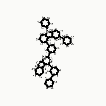 c1ccc(-c2cccc(-c3nc(-c4cccc(-c5cccc6c5c5cc(-c7ccccc7)ccc5n6-c5ccccc5)c4)nc4oc5ccccc5c34)c2)cc1